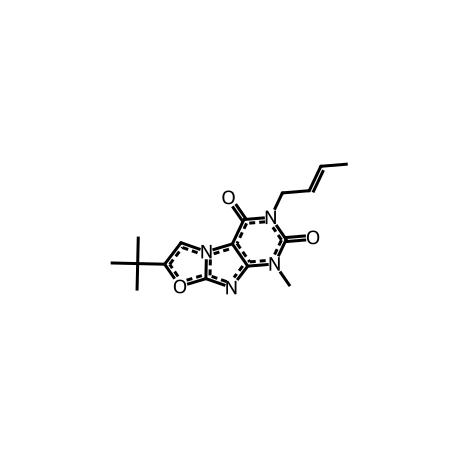 C/C=C/Cn1c(=O)c2c(nc3oc(C(C)(C)C)cn32)n(C)c1=O